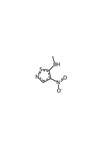 CBc1sncc1[N+](=O)[O-]